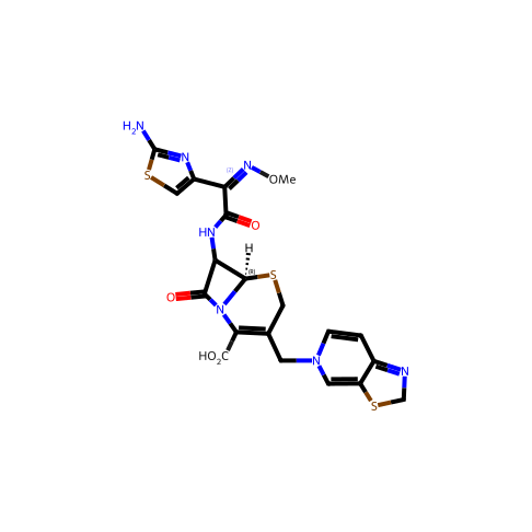 CO/N=C(\C(=O)NC1C(=O)N2C(C(=O)O)=C(CN3C=CC4=NCSC4=C3)CS[C@H]12)c1csc(N)n1